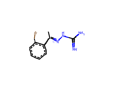 C/C(=N\NC(=N)N)c1ccccc1Br